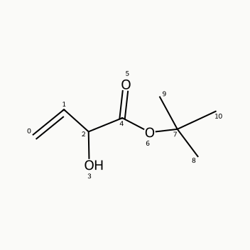 C=CC(O)C(=O)OC(C)(C)C